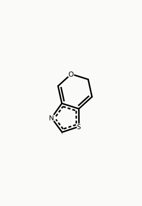 [c]1nc2c(s1)=CCOC=2